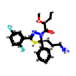 CC[C@H](OC)C(=O)N1N=C(c2cc(F)ccc2F)S[C@]1(CCCN)c1ccccc1